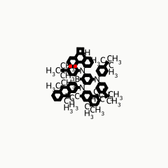 Cc1cc2c(cc1N1c3cc4c(cc3B3c5cc(C(C)(C)C)ccc5N(c5cccc6c5-c5ccccc5C5CC[C@H]65)c5cc(N(c6ccc(C(C)(C)C)cc6)c6ccc(C(C)(C)C)cc6)cc1c53)C(C)(C)c1ccccc1C4(C)C)C(C)(C)CCC2(C)C